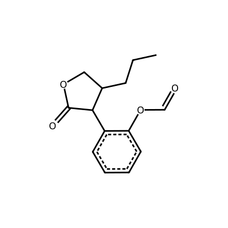 CCCC1COC(=O)C1c1ccccc1OC=O